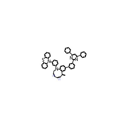 C=C1/C=C\C=C/CN(c2cccc(N3c4ccccc4Sc4ccccc43)c2)c2ccc(-c3cccc(-c4nc(-c5ccccc5)cc(-c5ccccc5)n4)c3)cc21